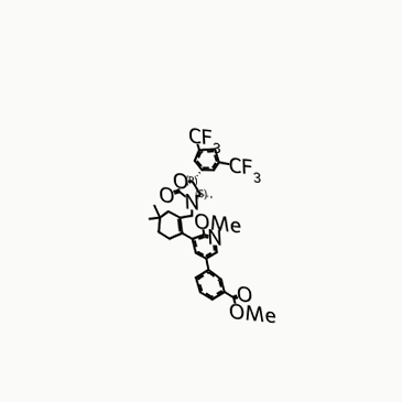 COC(=O)c1cccc(-c2cnc(OC)c(C3=C(CN4C(=O)O[C@H](c5cc(C(F)(F)F)cc(C(F)(F)F)c5)[C@@H]4C)CC(C)(C)CC3)c2)c1